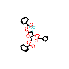 O=C(OC[C@H]1OC(OC(=O)c2ccccc2)[C@@H]([18F])[C@@H]1OC(=O)c1ccccc1)c1ccccc1